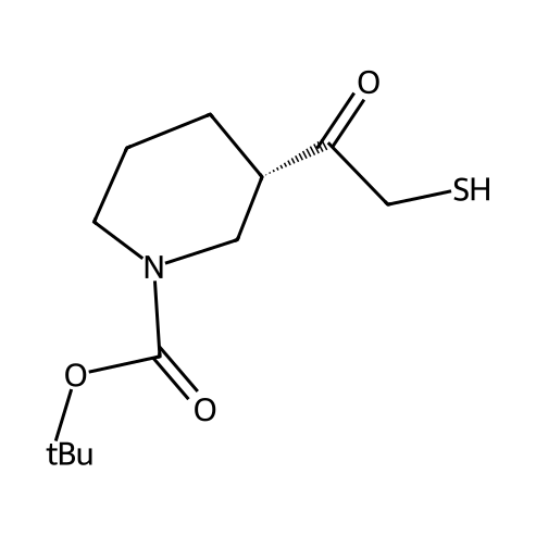 CC(C)(C)OC(=O)N1CCC[C@H](C(=O)CS)C1